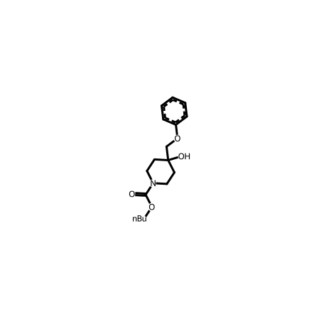 CCCCOC(=O)N1CCC(O)(COc2ccccc2)CC1